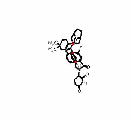 CC1(C)CCC(CN2C3CCC2CN(C(=O)c2cc4c(cc2F)C(=O)N(C2CCC(=O)NC2=O)C4)C3)=C(c2ccc(Cl)cc2)C1